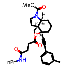 CCCNC(=O)CCC(=O)O[C@@]1(C#Cc2cccc(C)c2)CCC[C@@H]2[C@H]1CCN2C(=O)OC